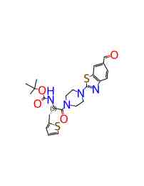 CC(C)(C)OC(=O)N[C@@H](Cc1cccs1)C(=O)N1CCN(c2nc3ccc(C=O)cc3s2)CC1